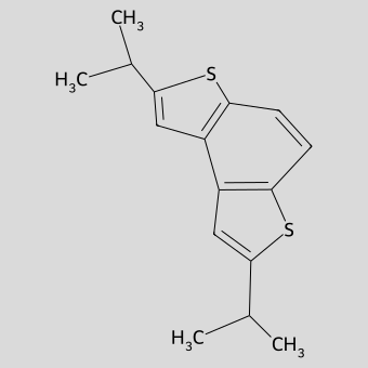 CC(C)c1cc2c(ccc3sc(C(C)C)cc32)s1